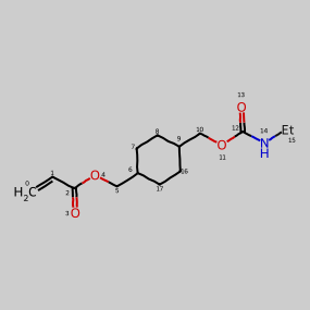 C=CC(=O)OCC1CCC(COC(=O)NCC)CC1